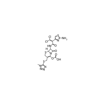 Cn1nnnc1SCC1=C(OC(=O)O)N2C(=O)C(NC(=O)C(=C(Cl)Cl)c3csc(N)n3)[C@@H]2SC1